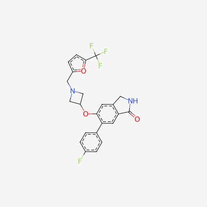 O=C1NCc2cc(OC3CN(Cc4ccc(C(F)(F)F)o4)C3)c(-c3ccc(F)cc3)cc21